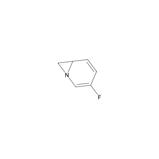 FC1=CN2CC2C=C1